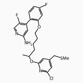 CSCc1cc(Cl)nc(OC(C)CCCCOc2cc(F)ccc2-c2cc(N)ncc2F)c1